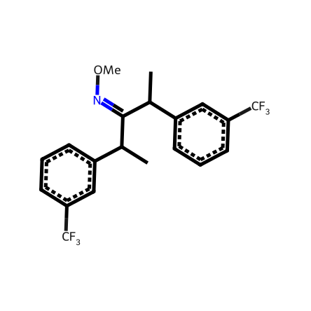 CON=C(C(C)c1cccc(C(F)(F)F)c1)C(C)c1cccc(C(F)(F)F)c1